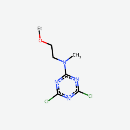 CCOCCN(C)c1nc(Cl)nc(Cl)n1